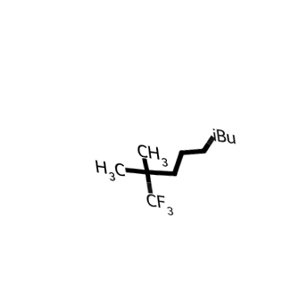 [CH2]CC(C)CCCC(C)(C)C(F)(F)F